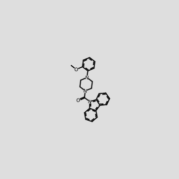 COc1ccccc1N1CCN(C(=O)n2c3ccccc3c3ccccc32)CC1